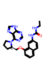 CCNC(=O)Nc1ccc2cccc(OC[C@H]3CCCN3c3ncnc4[nH]cnc34)c2c1